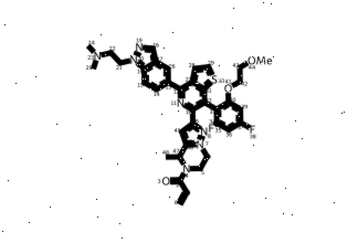 C=CC(=O)N1CCn2nc(-c3nc(-c4ccc5c(cnn5CCN(C)C)c4)c4ccsc4c3-c3c(F)cc(F)cc3OCCOC)cc2C1C